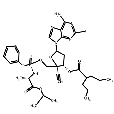 C#C[C@]1(CO[P@@](=O)(N[C@@H](C)C(=O)OC(C)C)Oc2ccccc2)O[C@@H](n2cnc3c(N)nc(F)nc32)C[C@@H]1OC(=O)C(CCC)CCC